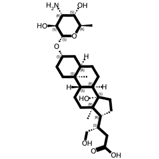 C[C@H]1O[C@H](O[C@H]2CC[C@@]3(C)[C@H](CC[C@@H]4[C@@H]3CC[C@]3(C)[C@@H]([C@@H](CO)CC(=O)O)CC[C@]43O)C2)[C@@H](O)[C@H](N)[C@@H]1O